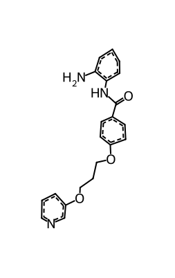 Nc1ccccc1NC(=O)c1ccc(OCCCOc2cccnc2)cc1